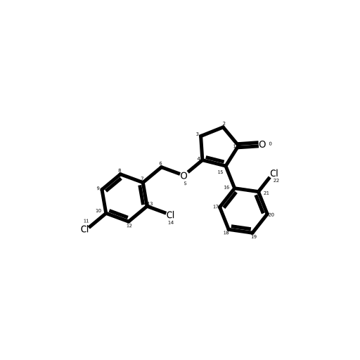 O=C1CCC(OCc2ccc(Cl)cc2Cl)=C1c1ccccc1Cl